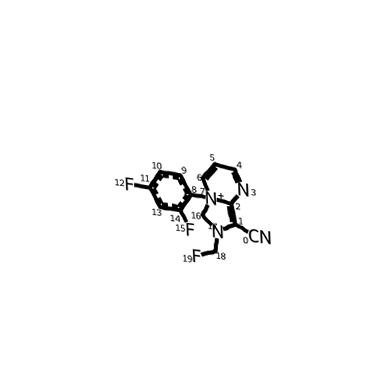 N#CC1=C2N=CC=C[N+]2(c2ccc(F)cc2F)CN1CF